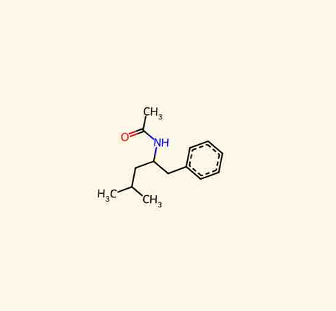 CC(=O)NC(Cc1ccccc1)CC(C)C